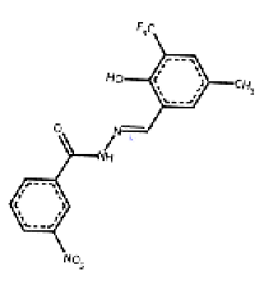 Cc1cc(/C=N/NC(=O)c2cccc([N+](=O)[O-])c2)c(O)c(C(F)(F)F)c1